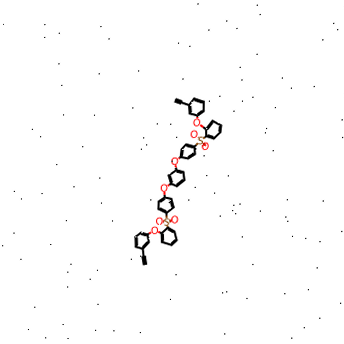 C#Cc1cccc(Oc2ccccc2S(=O)(=O)c2ccc(Oc3cccc(Oc4ccc(S(=O)(=O)c5ccccc5Oc5cccc(C#C)c5)cc4)c3)cc2)c1